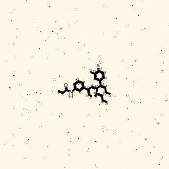 C=CC(=O)Nc1cccc(C(/C=C(C(=C\CC)/c2ccc(F)c(C)c2)\C(C)=C\CC)=C/C)c1